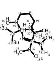 CCCCN(CCCC)[PH]1(N=P(N(C)C)(N(C)C)N(C)C)N(C)CCCN1C